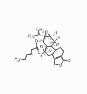 CCCCCC(=O)O[C@@H]1[C@@]2(C(C)C)O[C@H]2[C@@H]2O[C@]23[C@]12O[C@H]2CC1C2=C(CC[C@@]13C)C(=O)OC2